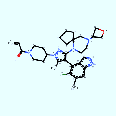 C=CC(=O)N1CCC(n2nc(N3CCN(C4COC4)CC34CCCC4)c(-c3c(Cl)c(C)cc4[nH]ncc34)c2C)CC1